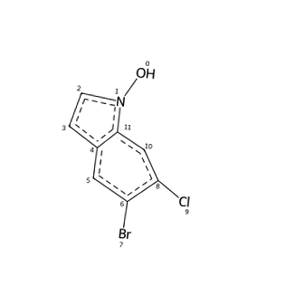 On1ccc2cc(Br)c(Cl)cc21